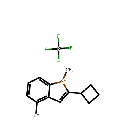 CCc1cccc2c1cc(C1CCC1)[s+]2C(F)(F)F.F[B-](F)(F)F